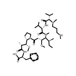 CC[C@H](C)[C@@H]([C@@H](CC(=O)N1CCC[C@H]1[C@H](OC)[C@@H](C)C(=O)N[C@@H](Cc1ccccc1)C(=O)O)OC)N(C)C(=O)[C@@H](NC(=O)[C@H](C(C)C)N(C)CCCNC)C(C)C